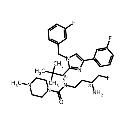 CN1CCN(C(=O)N(CC[C@H](N)CF)[C@@H](c2nc(-c3cccc(F)c3)cn2Cc2cccc(F)c2)C(C)(C)C)CC1